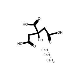 O=C(O)CC(O)(CC(=O)O)C(=O)O.[CaH2].[CaH2].[CaH2]